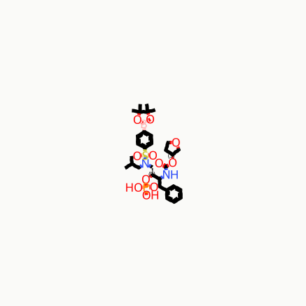 CC(C)CN(C[C@@H](OP(=O)(O)O)C(Cc1ccccc1)NC(=O)O[C@H]1CCOC1)S(=O)(=O)c1ccc(B2OC(C)(C)C(C)(C)O2)cc1